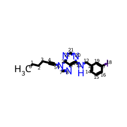 CCCCC#Cn1cnc2c(NCc3cccc(I)c3)ncnc21